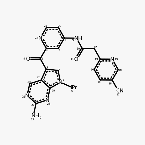 CC(C)n1cc(C(=O)c2cc(NC(=O)Cc3ccc(C#N)cn3)ccn2)c2cnc(N)nc21